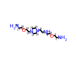 NCCOCCNCCN1CCN(CCOCCN)CC1